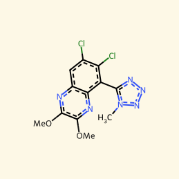 COc1nc2cc(Cl)c(Cl)c(-c3nnnn3C)c2nc1OC